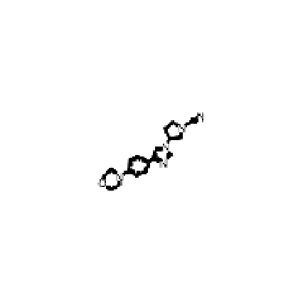 N#CN1CCC(n2cnc(-c3ccc(N4CCOCC4)cc3)c2)C1